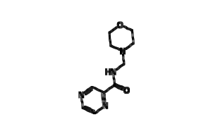 O=C(NCN1CCOCC1)c1cnccn1